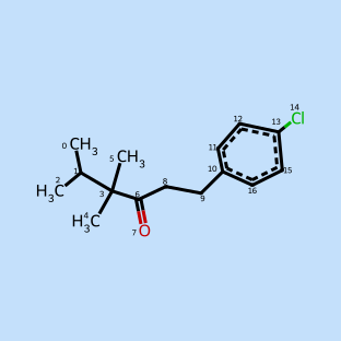 CC(C)C(C)(C)C(=O)CCc1ccc(Cl)cc1